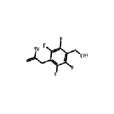 C=C(Br)Cc1c(F)c(F)c(CO)c(F)c1F